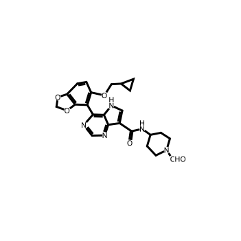 O=CN1CCC(NC(=O)c2c[nH]c3c(-c4c(OCC5CC5)ccc5c4OCO5)ncnc23)CC1